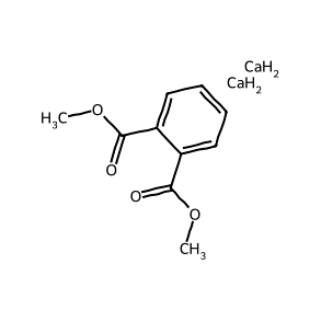 COC(=O)c1ccccc1C(=O)OC.[CaH2].[CaH2]